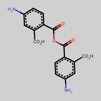 Nc1ccc(C(=O)OC(=O)c2ccc(N)cc2C(=O)O)c(C(=O)O)c1